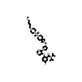 COC/C=C/CN1CCN(S(=O)(=O)N2CCC3(CC2)CN(C[C@@H]2CCN(c4ncncc4Oc4ccc(F)cc4C(=O)N(C(C)C)C(C)C)C2)C3)CC1